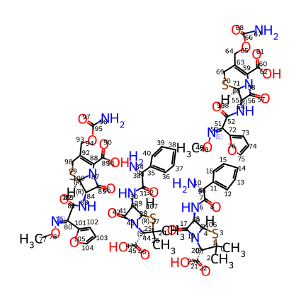 CC1(C)S[C@@H]2[C@H](NC(=O)[C@H](N)c3ccccc3)C(=O)N2[C@H]1C(=O)O.CC1(C)S[C@@H]2[C@H](NC(=O)[C@H](N)c3ccccc3)C(=O)N2[C@H]1C(=O)O.CO/N=C(/C(=O)N[C@@H]1C(=O)N2C(C(=O)O)=C(COC(N)=O)CS[C@H]12)c1ccco1.CO/N=C(/C(=O)N[C@@H]1C(=O)N2C(C(=O)O)=C(COC(N)=O)CS[C@H]12)c1ccco1